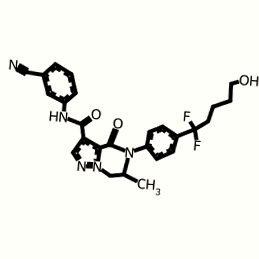 CC1Cn2ncc(C(=O)Nc3cccc(C#N)c3)c2C(=O)N1c1ccc(C(F)(F)CCCCO)cc1